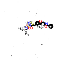 CCN(CC)S(=O)(=O)NC(=O)C(Cc1ccc2oc(Cc3nc(-c4ccccc4)oc3C)cc2c1)SC